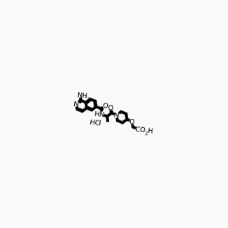 CC(NC(=O)c1ccc2c(N)nccc2c1)C(=O)N1CCC(OCC(=O)O)CC1.Cl